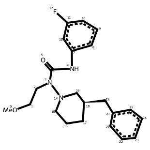 COCCN(C(=O)Nc1cccc(F)c1)N1CCC[C@H](Cc2ccccc2)C1